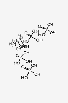 NO.NO.NO.O=P(O)(O)O.O=P(O)(O)O.O=P(O)(O)O.O=P(O)(O)O